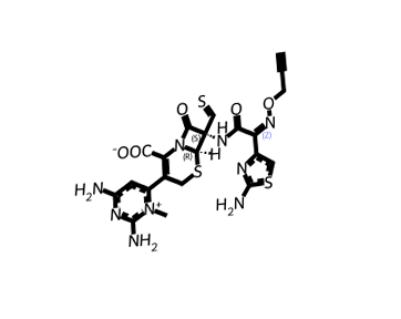 C#CCO/N=C(\C(=O)N[C@@]1(C=S)C(=O)N2C(C(=O)[O-])=C(c3cc(N)nc(N)[n+]3C)CS[C@@H]21)c1csc(N)n1